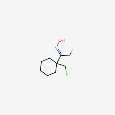 ON=C(CF)C1(CF)CCCCC1